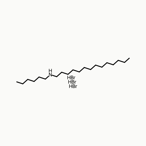 Br.Br.Br.CCCCCCCCCCCCCCNCCCCCC